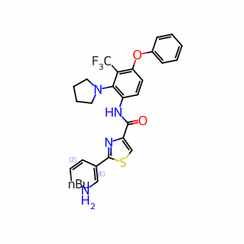 CCCC/C=C\C(=C/N)c1nc(C(=O)Nc2ccc(Oc3ccccc3)c(C(F)(F)F)c2N2CCCC2)cs1